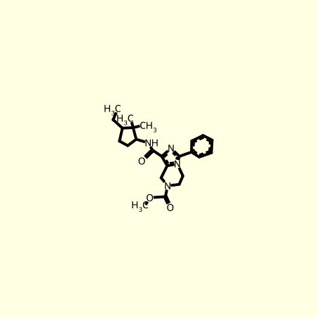 CCC1CCC(NC(=O)c2nc(-c3ccccc3)n3c2CN(C(=O)OC)CC3)C1(C)C